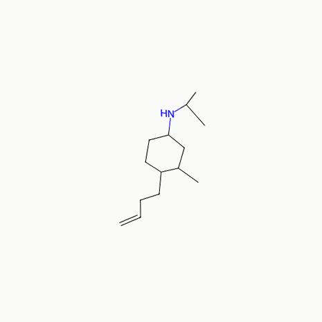 C=CCCC1CCC(NC(C)C)CC1C